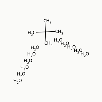 CC(C)(C)C.O.O.O.O.O.O.O.O.O.O.O